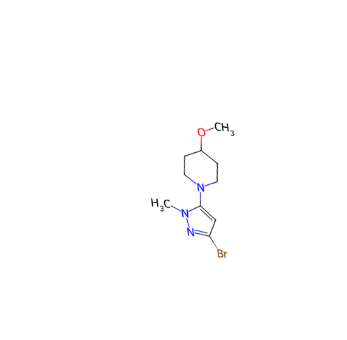 COC1CCN(c2cc(Br)nn2C)CC1